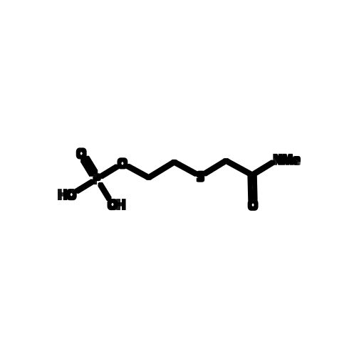 CNC(=O)CSCCOP(=O)(O)O